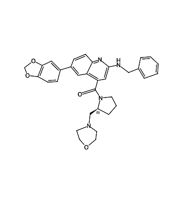 O=C(c1cc(NCc2ccccc2)nc2ccc(-c3ccc4c(c3)OCO4)cc12)N1CCC[C@H]1CN1CCOCC1